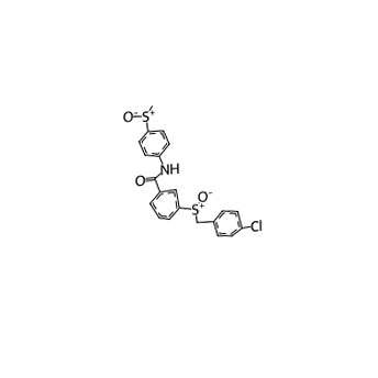 C[S+]([O-])c1ccc(NC(=O)c2cccc([S+]([O-])Cc3ccc(Cl)cc3)c2)cc1